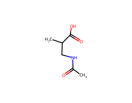 CC(=O)NCC(C)C(=O)O